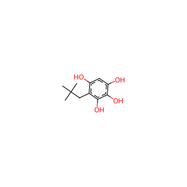 CC(C)(C)Cc1c(O)cc(O)c(O)c1O